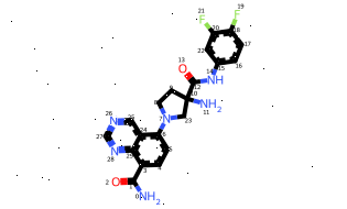 NC(=O)c1ccc(N2CCC(N)(C(=O)Nc3ccc(F)c(F)c3)C2)c2cncnc12